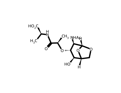 CC(=O)N[C@H]1[C@@H]2OC[C@@H](O2)[C@@H](O)[C@@H]1O[C@H](C)C(=O)N[C@@H](C)C(=O)O